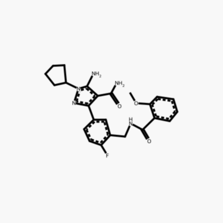 COc1ccccc1C(=O)NCc1cc(-c2nn(C3CCCC3)c(N)c2C(N)=O)ccc1F